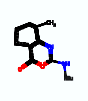 CCCCNc1nc2c(C)cccc2c(=O)o1